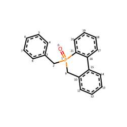 O=P1(Cc2ccccc2)Cc2ccccc2-c2ccccc21